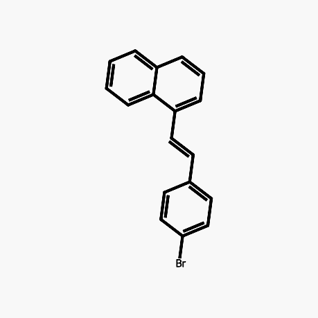 Brc1ccc(C=Cc2cccc3ccccc23)cc1